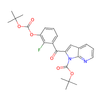 CC(C)(C)OC(=O)Oc1cccc(C(=O)c2cc3cccnc3n2C(=O)OC(C)(C)C)c1F